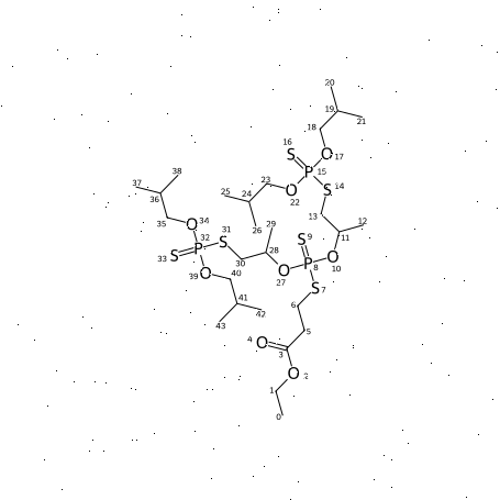 CCOC(=O)CCSP(=S)(OC(C)CSP(=S)(OCC(C)C)OCC(C)C)OC(C)CSP(=S)(OCC(C)C)OCC(C)C